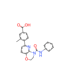 Cc1cc(C(=O)O)ccc1-c1ccc2c(n1)N(C(=O)Nc1ccccc1)CCO2